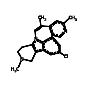 C/C(=C/n1c2c(c3cc(Cl)ccc31)CN(C)CC2)c1ccnc(C)c1